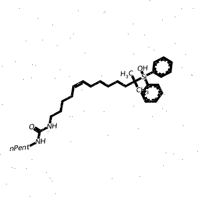 CCCCCNC(=O)NCCCC/C=C\CCCCCC(C)(C)[Si](O)(c1ccccc1)c1ccccc1